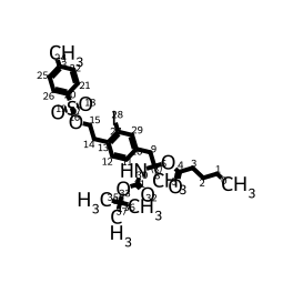 CCCCC(=O)O[C@](C)(Cc1ccc(CCOS(=O)(=O)c2ccc(C)cc2)c(I)c1)NC(=O)OC(C)(C)C